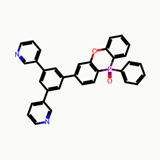 O=P1(c2ccccc2)c2ccccc2Oc2cc(-c3cc(-c4cccnc4)cc(-c4cccnc4)c3)ccc21